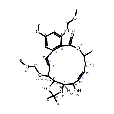 COCOc1cc(OC)cc2c1C(=O)OC(C)[C@H](C)/C=C\C(O)[C@H]1OC(C)(C)O[C@H]1C(OCOC)/C=C/2